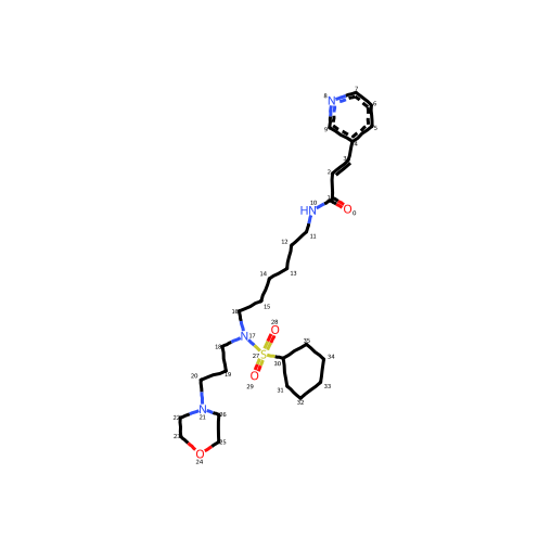 O=C(/C=C/c1cccnc1)NCCCCCCN(CCCN1CCOCC1)S(=O)(=O)C1CCCCC1